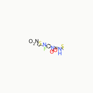 CC(=S)NC[C@H]1CN(c2ccc(N(C)Cc3ccc([N+](=O)[O-])s3)c(F)c2)C(=O)O1